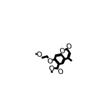 COCCOc1cc2oc(=O)cc(C)c2cc1C(=O)OC